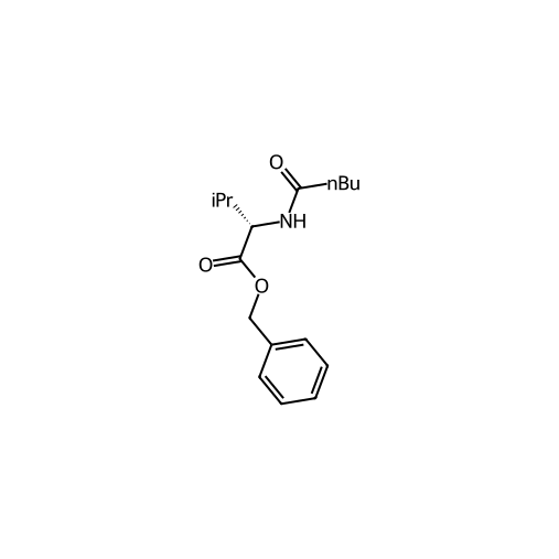 CCCCC(=O)N[C@H](C(=O)OCc1ccccc1)C(C)C